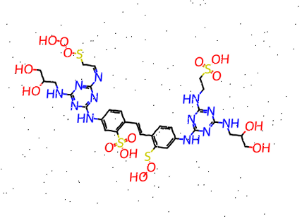 O=S(=O)(O)CCNc1nc(NCC(O)CO)nc(Nc2ccc(C=Cc3ccc(Nc4nc(/N=C\CSOOO)nc(NCC(O)CO)n4)cc3S(=O)(=O)O)c(SOO)c2)n1